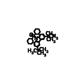 CC(C)(C)c1ccc2c(c1)c1cc(C(C)(C)C)ccc1n2P(=O)(C1CCCCC1)C1CCCCC1